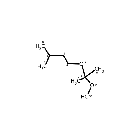 CC(C)CCOC(C)(C)OO